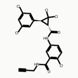 C#CCNC(=O)c1cc(NC(=O)[C@@H]2[C@@H](c3cc(Cl)cc(Cl)c3)C2(Cl)Cl)ccc1Cl